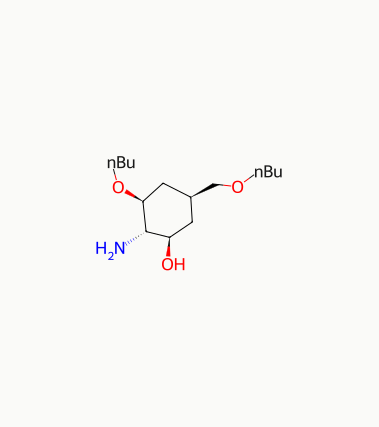 CCCCOC[C@H]1C[C@@H](O)[C@H](N)[C@@H](OCCCC)C1